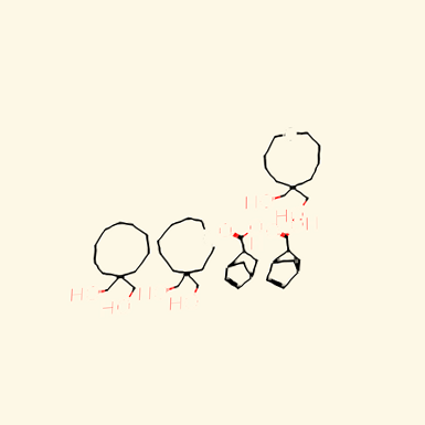 O=C(O)C1CC2C=CC1C2.O=C(O)C1CC2C=CC1C2.OCC1(CO)CCCCCCCCC1.OCC1(CO)CCCCCCCCC1.OCC1(CO)CCCCCCCCC1